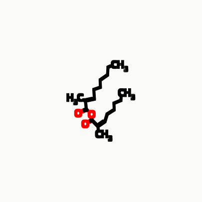 CCCCCC=C(C)C(=O)OC(=O)C(C)=CCCCCCC